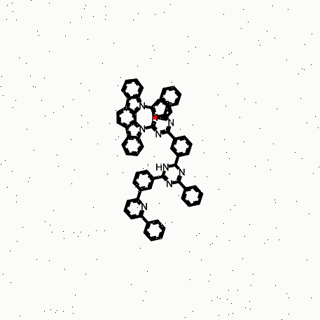 c1ccc(C2=NC(c3cccc(-c4nc(-c5ccccc5)nc(-n5c6ccccc6c6ccc7c8ccccc8n(-c8ccccc8)c7c65)n4)c3)NC(c3cccc(-c4cccc(-c5ccccc5)n4)c3)=N2)cc1